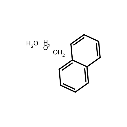 O.O.O.c1ccc2ccccc2c1